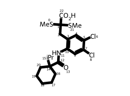 CSC(Cc1cc(Cl)c(Cl)cc1NC(=O)C1(C(C)C)CCCCC1)(SC)C(=O)O